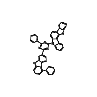 c1ccc(-c2nc(-c3ccc4c(c3)oc3cccc(-c5ccccc5)c34)nc(-n3c4ccccc4c4c5sc6ccccc6c5ccc43)n2)cc1